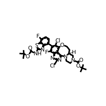 CC(C)(C)OC(=O)Nc1nc2c(-c3c(Cl)c4c5c(nc(Cl)nc5c3F)N3CCN(C(=O)OC(C)(C)C)C[C@@H]3CCO4)ccc(F)c2s1